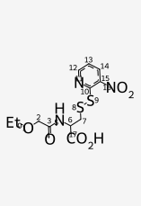 CCOCC(=O)NC(CSSc1ncccc1[N+](=O)[O-])C(=O)O